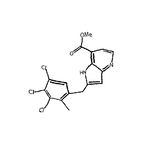 COC(=O)c1ccnc2cc(Cc3cc(Cl)c(Cl)c(Cl)c3C)[nH]c12